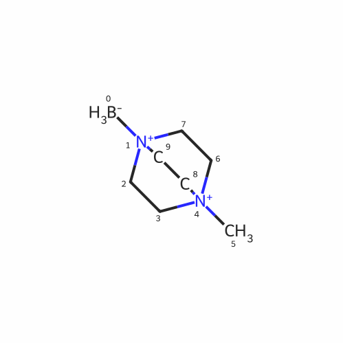 [BH3-][N+]12CC[N+](C)(CC1)CC2